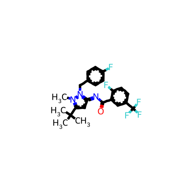 Cn1c(C(C)(C)C)cc(=NC(=O)c2cc(C(F)(F)F)ccc2F)n1Cc1ccc(F)cc1